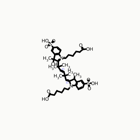 CC1/C(=C\C(C)(C)/C=C/C(C)(C)C2=[N+](CCCCCC(=O)O)c3ccc(S(=O)(=O)O)cc3C2(C)C)N(CCCCCC(=O)O)c2ccc(S(=O)(=O)O)cc21